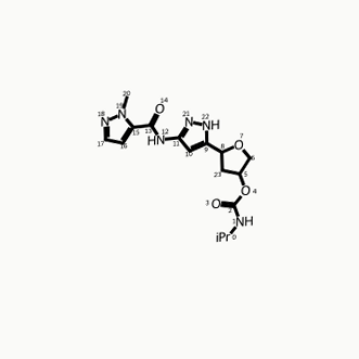 CC(C)NC(=O)OC1COC(c2cc(NC(=O)c3ccnn3C)n[nH]2)C1